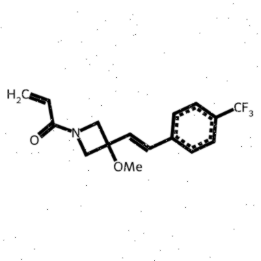 C=CC(=O)N1CC(C=Cc2ccc(C(F)(F)F)cc2)(OC)C1